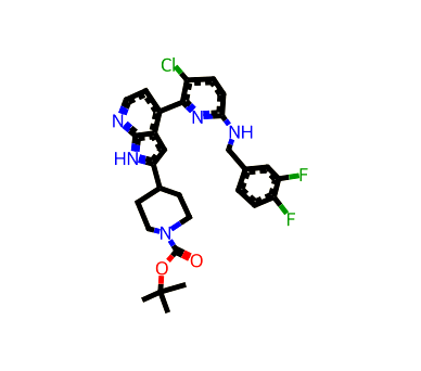 CC(C)(C)OC(=O)N1CCC(c2cc3c(-c4nc(NCc5ccc(F)c(F)c5)ccc4Cl)ccnc3[nH]2)CC1